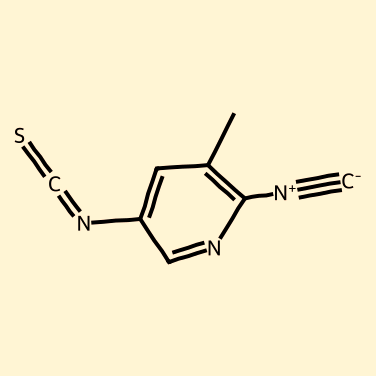 [C-]#[N+]c1ncc(N=C=S)cc1C